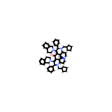 O=C(C1=C(N2CCc3ccccc3C2)C(c2ccccc2)N(CC2CCCC2)c2ccncc21)C1=C(N2CCc3ccccc3C2)C(c2ccccc2)N(CC2CCCC2)c2ccncc21